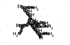 CCOCC(COCC(O)COCC(O)COC(CO)COCC(COC(C)COCC(COCC)OCCCSCCN)OCC(COCC(COCC(O)COCC(COCC)OCCCSCCN)OCC(COCCCSCCN)OCC)OCC(COCCCSCCN)OCC)OCCCSCCN